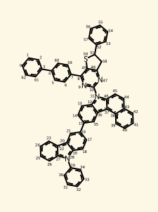 c1ccc(-c2ccc(-c3nc(-n4c5ccc(-c6ccc7c(c6)c6ccccc6n7-c6ccccc6)cc5c5c6ccccc6ccc54)nc4c3SC(c3ccccc3)C4)cc2)cc1